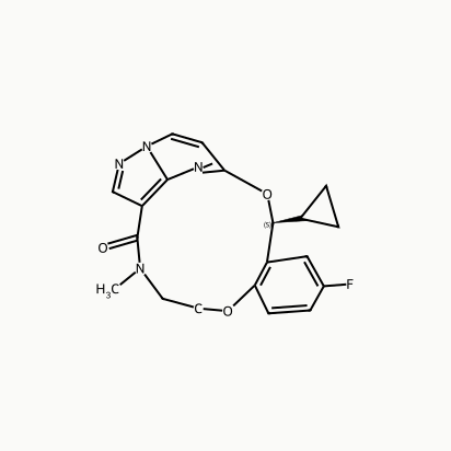 CN1CCOc2ccc(F)cc2[C@H](C2CC2)Oc2ccn3ncc(c3n2)C1=O